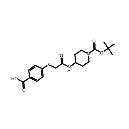 CC(C)(C)OC(=O)N1CCC(NC(=O)CSc2ccc(C(=O)O)cc2)CC1